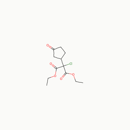 CCOC(=O)C(Cl)(C(=O)OCC)C1CCC(=O)C1